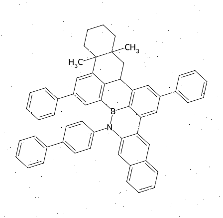 CC12CCCCC1(C)c1cc(-c3ccccc3)cc3c1C(C2)c1cc(-c2ccccc2)cc2c1B3N(c1ccc(-c3ccccc3)cc1)c1cc3ccccc3cc1-2